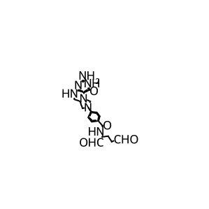 Nc1nc2c(c(=O)[nH]1)N1CN(c3ccc(C(=O)NC(C=O)CCC=O)cc3)CC1CN2